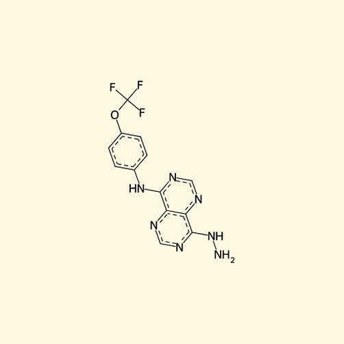 NNc1ncnc2c(Nc3ccc(OC(F)(F)F)cc3)ncnc12